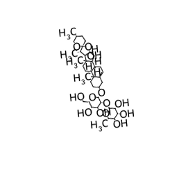 C[C@@H]1CC[C@@]2(OC1)O[C@H]1C[C@H]3[C@@H]4CC=C5C[C@@H](O[C@@H]6O[C@H](CO)[C@@H](O)[C@H](O)[C@H]6O[C@@H]6O[C@@H](C)[C@H](O)[C@@H](O)[C@H]6O)CC[C@]5(C)[C@H]4CC[C@]3(C)[C@@]1(O)[C@@H]2C